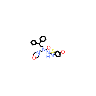 COc1ccc2nc(NC(=O)N(CCC(c3ccccc3)c3ccccc3)CCN3CCOCC3)sc2c1